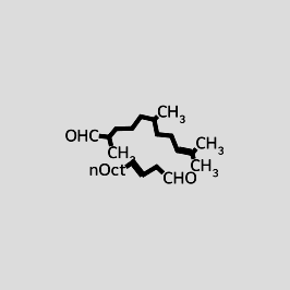 CC(C)=CCCC(C)CCCC(C)C=O.CCCCCCCCC=CCC=O